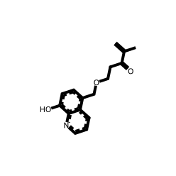 C=C(C)C(=O)CCOCc1ccc(O)c2ncccc12